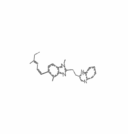 CC/C(C)=C/C=C\c1ccc2c(nc(CCc3cnc4ccccc4n3)n2C)c1C